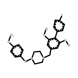 CCOc1cc(CN2CCN(Sc3ccc(OC(F)(F)F)cc3)CC2)cc(OCC)c1-c1ccc(F)cc1